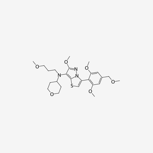 COCCCN(c1c(OC)nn2c(-c3c(OC)cc(COC)cc3OC)csc12)C1CCOCC1